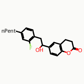 CCCCCc1ccc(CC(O)c2ccc3c(c2)CCC(=O)O3)c(F)c1